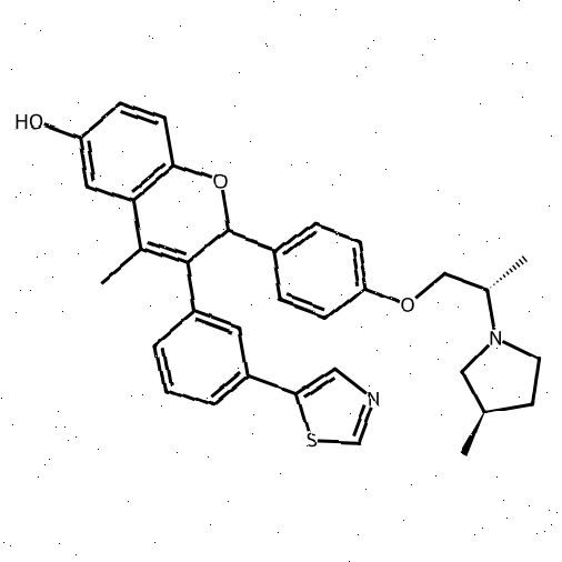 CC1=C(c2cccc(-c3cncs3)c2)C(c2ccc(OC[C@H](C)N3CC[C@@H](C)C3)cc2)Oc2ccc(O)cc21